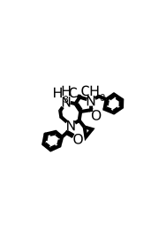 CC1(C)C2=C(C(=O)N1Cc1ccccc1)C(C1CC1)N(C(=O)c1ccccc1)CCN2